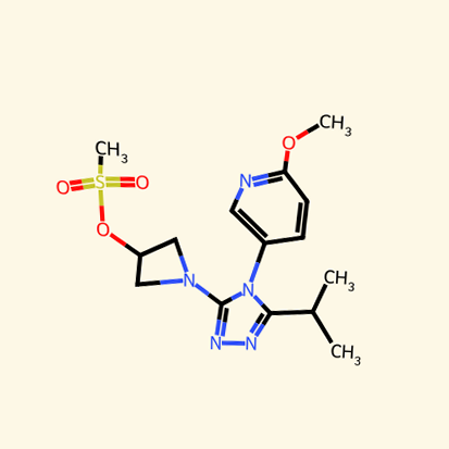 COc1ccc(-n2c(C(C)C)nnc2N2CC(OS(C)(=O)=O)C2)cn1